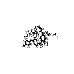 Cn1nc(-c2ccnc(C(C)(C)O)n2)c2cc(C(=O)N3CCC(Cc4ccc(F)cc4F)CC3)c(Cl)cc21